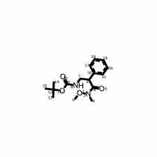 CON(C)C(=O)C(CNC(=O)OC(C)(C)C)c1ccccc1